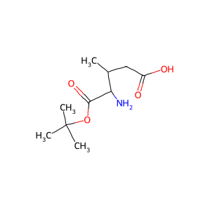 CC(CC(=O)O)C(N)C(=O)OC(C)(C)C